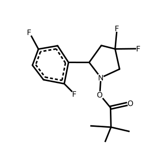 CC(C)(C)C(=O)ON1CC(F)(F)CC1c1cc(F)ccc1F